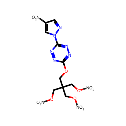 O=[N+]([O-])OCC(COc1nnc(-n2cc([N+](=O)[O-])cn2)nn1)(CO[N+](=O)[O-])CO[N+](=O)[O-]